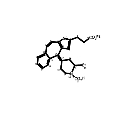 CCOC(=O)CCc1cc2c(s1)C=Cc1ccccc1C2=C1CCN(C(=O)O)C(CC)C1